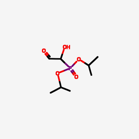 CC(C)OP(=O)(OC(C)C)C(O)C=O